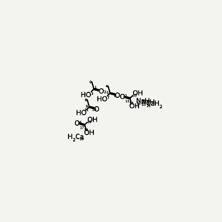 CC(=O)O.CC(=O)O.CC(=O)O.O=C(O)O.O=C(O)O.[CaH2].[CaH2].[NaH].[NaH]